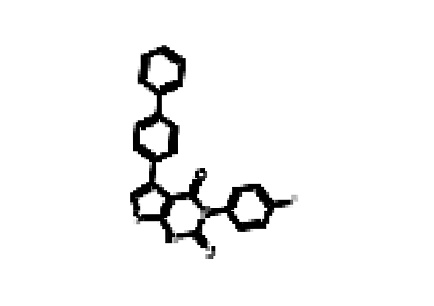 O=c1[nH]c2scc(-c3ccc(-c4ccccc4)cc3)c2c(=O)n1-c1ccc(Cl)cc1